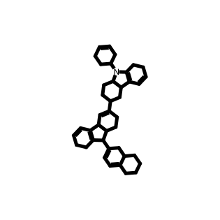 C1=CC2=C(CC1)C(C1=CC=C3CCCCC3C1)C1CCC(C3CCC4C(C3)C3=C(CCC=C3)N4C3CC=CCC3)=CC21